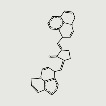 O=C1C(=CC2C=CN3CC=Cc4cccc2c43)CCC1=CC1C=CN2CC=Cc3cccc1c32